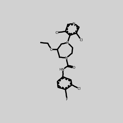 CCOC1CN(C(=O)Nc2ccc(F)c(Cl)c2)CCN(c2c(Cl)cncc2Cl)C1